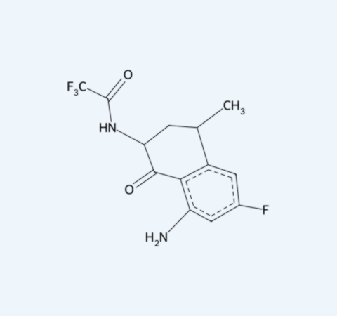 CC1CC(NC(=O)C(F)(F)F)C(=O)c2c(N)cc(F)cc21